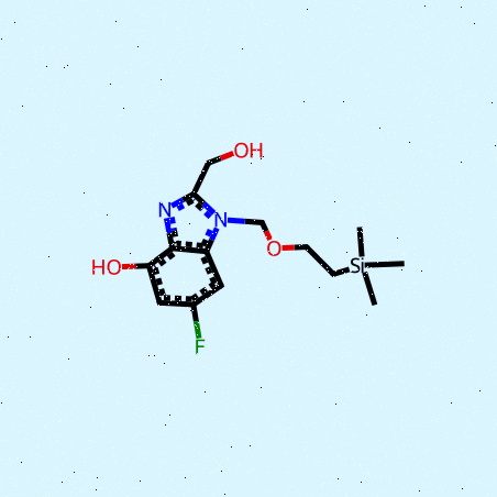 C[Si](C)(C)CCOCn1c(CO)nc2c(O)cc(F)cc21